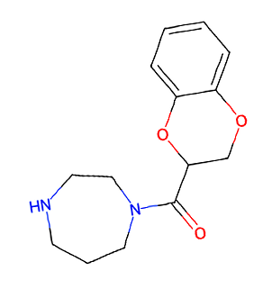 O=C(C1COc2ccccc2O1)N1CCCNCC1